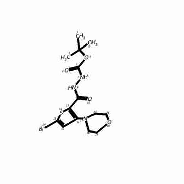 CC(C)(C)OC(=O)NNC(=O)c1sc(Br)cc1N1CCOCC1